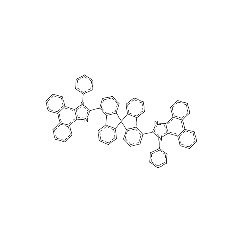 c1ccc(-n2c(-c3cccc4c3-c3ccccc3C43c4ccccc4-c4c(-c5nc6c7ccccc7c7ccccc7c6n5-c5ccccc5)cccc43)nc3c4ccccc4c4ccccc4c32)cc1